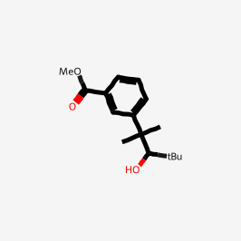 COC(=O)c1cccc(C(C)(C)C(O)C(C)(C)C)c1